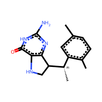 Cc1ccc(C)c([C@H](C)C2CNc3c2nc(N)[nH]c3=O)c1